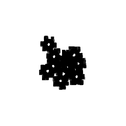 c1ccc(-c2cccc(-c3nc4ccccc4nc3-n3c4ccc5ccccc5c4c4c5ccccc5c5c6cccc7c8ccccc8n(c76)c5c43)c2)cc1